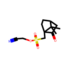 CC1(C)C2CCC1(CS(=O)(=O)OCC#N)C(=O)C2